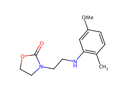 COc1ccc(C)c(NCCN2CCOC2=O)c1